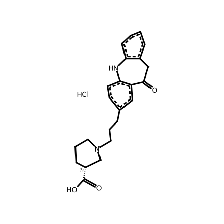 Cl.O=C1Cc2ccccc2Nc2ccc(CCCN3CCC[C@@H](C(=O)O)C3)cc21